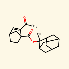 CC(=O)C1=CC2CCC1(C(=O)OC1(C)C3CC4CC(C3)CC1C4)C2